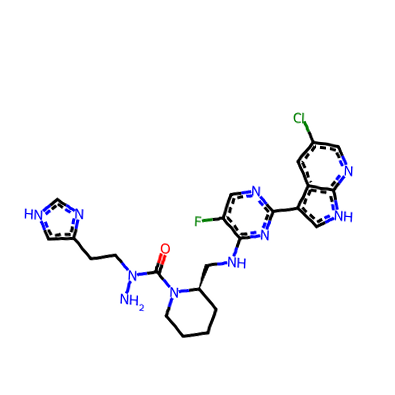 NN(CCc1c[nH]cn1)C(=O)N1CCCC[C@@H]1CNc1nc(-c2c[nH]c3ncc(Cl)cc23)ncc1F